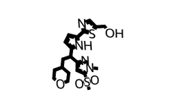 Cn1nc(C(CC2CCOCC2)c2ccc(-c3ncc(CO)s3)[nH]2)cc1S(C)(=O)=O